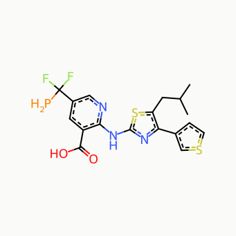 CC(C)Cc1sc(Nc2ncc(C(F)(F)P)cc2C(=O)O)nc1-c1ccsc1